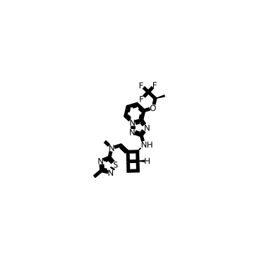 Cc1nsc(N(C)/C=C2\C3CC[C@H]3[C@H]2Nc2nc3c(O[C@H](C)C(F)(F)F)cccn3n2)n1